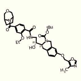 CCOc1cc(C(=O)N2C3CCC2COC3)ccc1C(=O)NC[C@@H](O)[C@@H]1Cc2ccc(OCc3ocnc3C)cc2CN1C(=O)OC(C)(C)C